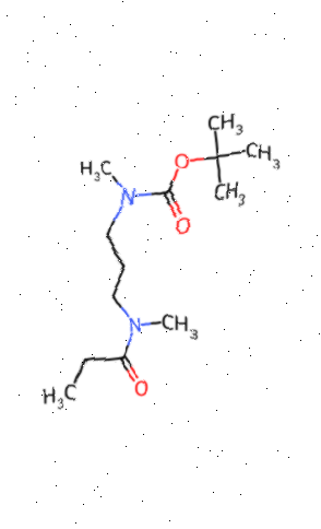 CCC(=O)N(C)CCCN(C)C(=O)OC(C)(C)C